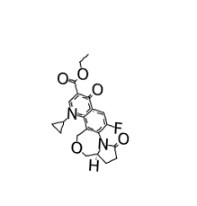 CCOC(=O)c1cn(C2CC2)c2c3c(c(F)cc2c1=O)N1C(=O)CC[C@H]1COC3